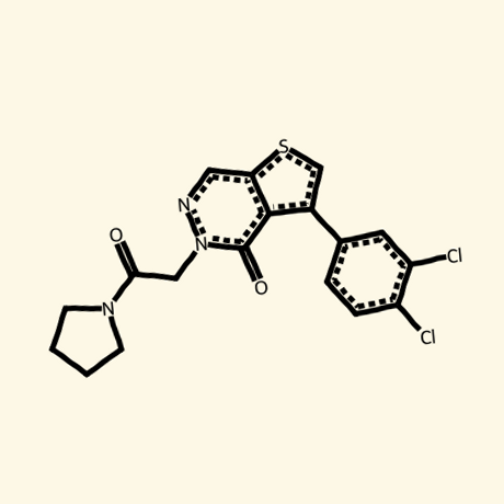 O=C(Cn1ncc2scc(-c3ccc(Cl)c(Cl)c3)c2c1=O)N1CCCC1